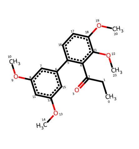 CCC(=O)c1c(-c2cc(OC)cc(OC)c2)ccc(OC)c1OC